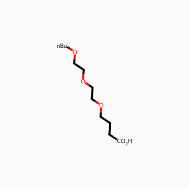 CCCCOCCOCCOCCCC(=O)O